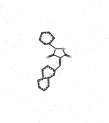 O=C1NN(c2ccccc2)C(=O)/C1=C\c1ccc2ccccc2c1